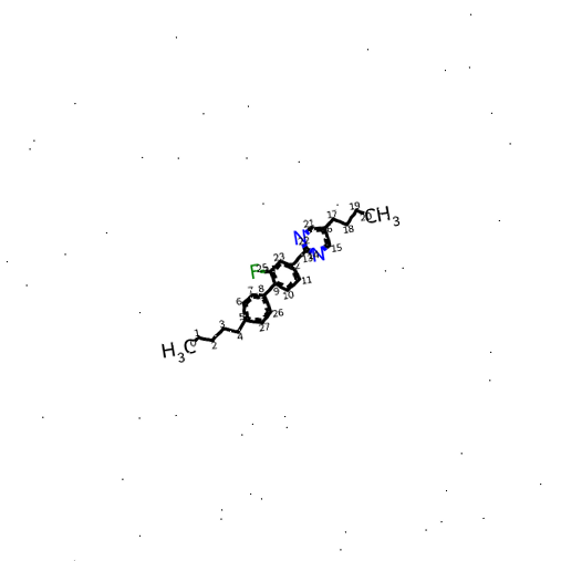 CCCCCc1ccc(-c2ccc(-c3ncc(CCCC)cn3)cc2F)cc1